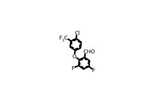 O=Cc1cc(F)cc(F)c1Oc1ccc(Cl)c(C(F)(F)F)c1